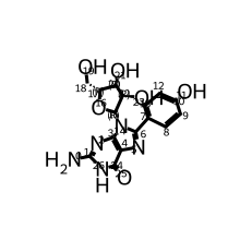 Nc1nc2c(nc(-c3ccc(O)cc3)n2[C@@H]2O[C@H](CO)[C@@H](O)[C@H]2O)c(=O)[nH]1